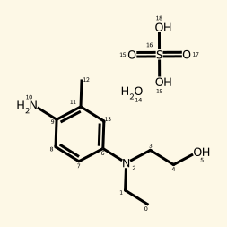 CCN(CCO)c1ccc(N)c(C)c1.O.O=S(=O)(O)O